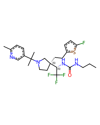 CCCNC(=O)N[C@H](C(F)(F)F)[C@@]1(CCc2ccc(F)s2)CCN(C(C)(C)c2ccc(C)nc2)C1